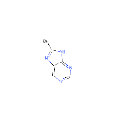 CCC(C)c1nc2cncnc2[nH]1